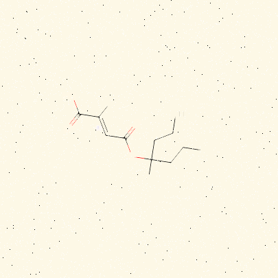 CCCC(C)(CCC)OC(=O)/C=C(\C)C(=O)O